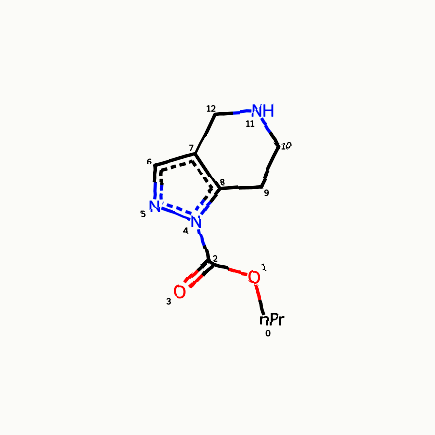 CCCOC(=O)n1ncc2c1CCNC2